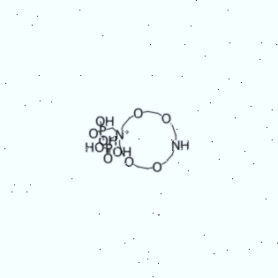 O=P(O)(O)C[N+]1(CP(=O)(O)O)CCOCCOCCNCCOCCOCC1